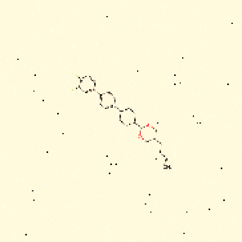 C=CCCC1COC(C2CCC(c3ccc(-c4ccc(F)c(F)c4)cc3)CC2)OC1